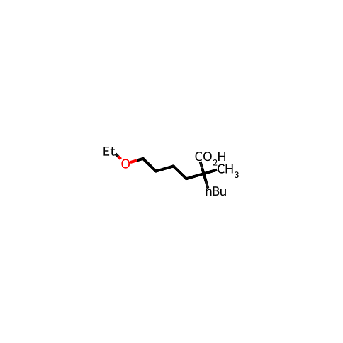 CCCCC(C)(CCCCOCC)C(=O)O